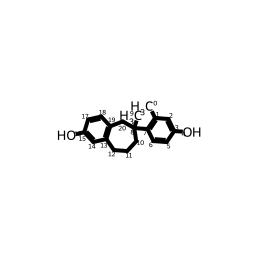 Cc1cc(O)ccc1C1(C)CCCc2cc(O)ccc2C1